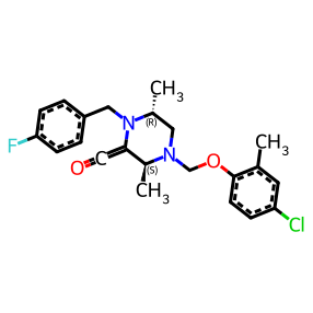 Cc1cc(Cl)ccc1OCN1C[C@@H](C)N(Cc2ccc(F)cc2)C(=C=O)[C@@H]1C